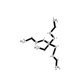 CCOS[Si](CC)(SOCC)SOCC